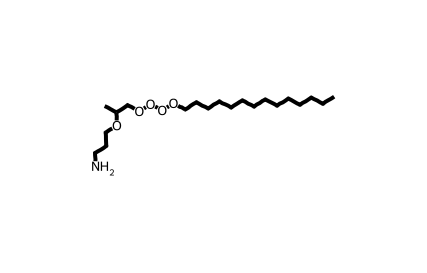 CCCCCCCCCCCCCCOOOOCC(C)OCCCN